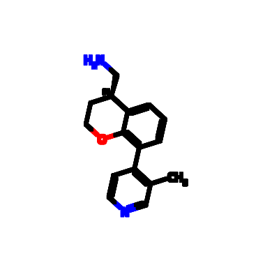 Cc1cnccc1-c1cccc2c1OCC[C@H]2CN